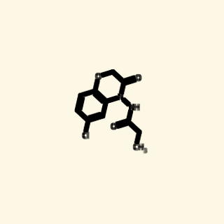 CCC(=O)NN1C(=O)COc2ccc(Cl)cc21